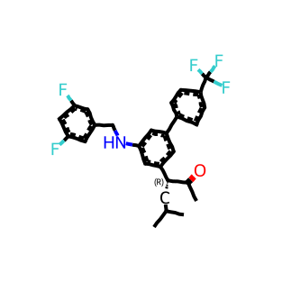 CC(=O)[C@H](CC(C)C)c1cc(NCc2cc(F)cc(F)c2)cc(-c2ccc(C(F)(F)F)cc2)c1